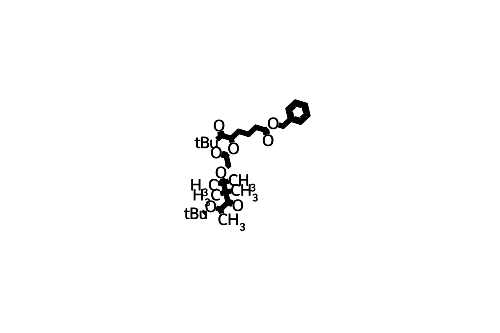 CC(OC(C)(C)C)C(=O)C(C)(C)C(C)(C)OCC(=O)OC(CCCC(=O)OCc1ccccc1)C(=O)C(C)(C)C